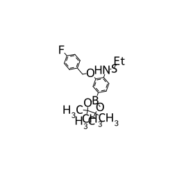 CCSNc1ccc(B2OC(C)(C)C(C)(C)O2)cc1OCc1ccc(F)cc1